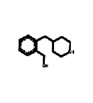 OCc1ccccc1CC1CCNCC1